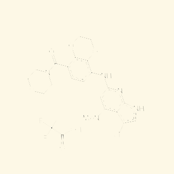 CNc1cc(Nc2ccc(C(=O)N3CCOCC3)c3c2OCCO3)nc2[nH]cc(Cl)c12.O=C(O)C(F)(F)F